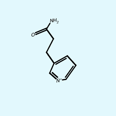 NC(=O)CCC1=CC=C[N+]=C1